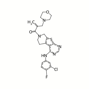 C=C(CN1CCOCC1)C(=O)N1CCc2c(sc3ncnc(Nc4ccc(F)c(Cl)c4)c23)C1